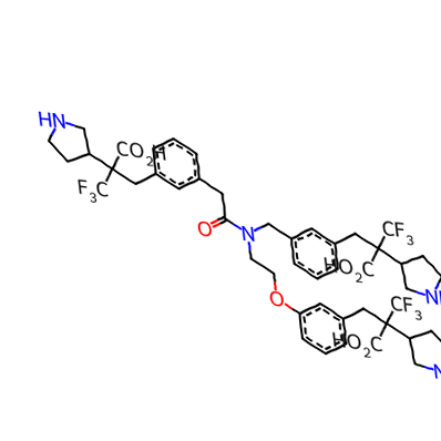 O=C(Cc1cccc(CC(C(=O)O)(C2CCNC2)C(F)(F)F)c1)N(CCOc1cccc(CC(C(=O)O)(C2CCNC2)C(F)(F)F)c1)Cc1cccc(CC(C(=O)O)(C2CCNC2)C(F)(F)F)c1